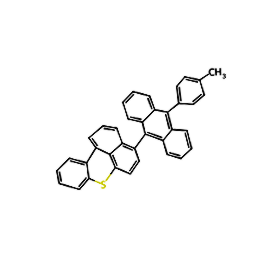 Cc1ccc(-c2c3ccccc3c(-c3ccc4c5c(cccc35)-c3ccccc3S4)c3ccccc23)cc1